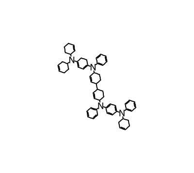 C1=CC(N(C2=CC=C(N(c3ccccc3)C3C=CC(C4C=CC(N(c5ccccc5)c5ccc(N(c6ccccc6)C6CC=CCC6)cc5)CC4)CC3)CC2)C2CC=CCC2)CCC1